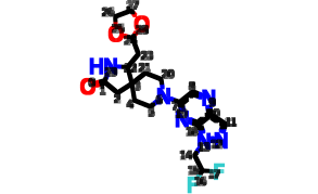 O=C1CC2(CCN(c3cnc4cnn(CC(F)F)c4n3)CC2)C(CC2OCCO2)N1